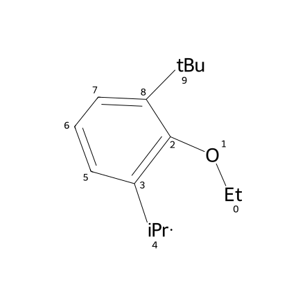 CCOc1c([C](C)C)cccc1C(C)(C)C